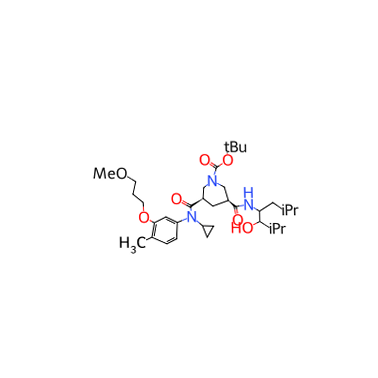 COCCCOc1cc(N(C(=O)[C@@H]2C[C@H](C(=O)NC(CC(C)C)C(O)C(C)C)CN(C(=O)OC(C)(C)C)C2)C2CC2)ccc1C